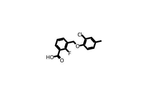 Cc1ccc(OCc2cccc(C(=O)O)c2F)c(Cl)c1